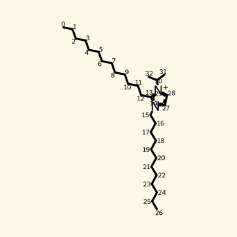 CCCCCCCCCCCCCc1n(CCCCCCCCCCCC)cc[n+]1C(C)C